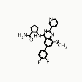 COc1cc(-c2ccc(F)c(F)c2)cc2c(NC3CCCC3C(N)=O)nc(-c3cccnc3)nc12